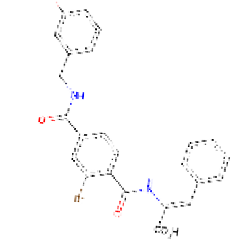 O=C(O)C(=Cc1ccccc1)NC(=O)c1ccc(C(=O)NCc2cccc(O)c2)cc1Br